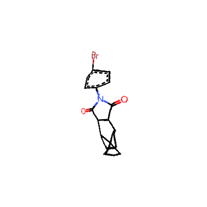 O=C1C2C(C(=O)N1c1ccc(Br)cc1)C1CCC2C12CC2